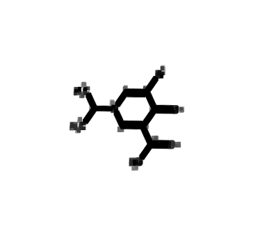 CC(C)n1cc(Br)c(=O)c(C(=O)O)c1